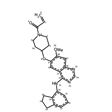 C=CC(=O)N1CCC(Oc2cc3c(Nc4cccc5c4CCC5)ncnc3cc2OC)CC1